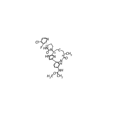 C=C(Nc1ccc2c(c1)NC(=O)[C@H](C)CCC[C@H](N1CC[C@@H](c3nccc(Cl)c3F)NC1=O)c1nc-2c[nH]1)OC